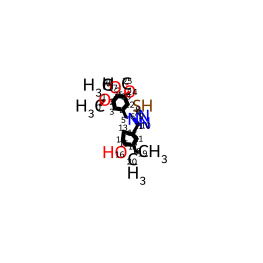 COc1cc(Cn2c(S)nnc2-c2ccc(O)c(C(C)C)c2)cc(OC)c1OC